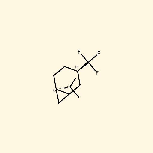 CC(C)[C@]12CC[C@@H](C(F)(F)F)CC1C2